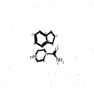 NC(=O)N1CCNCC1.c1ccc2c(c1)CCC2